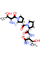 C[C@@H](O)[C@H](N)C(=O)N1CC[C@H](C(=O)N2CCC[C@H]2C(=O)N[C@H](C(N)=O)[C@@H](C)O)C1